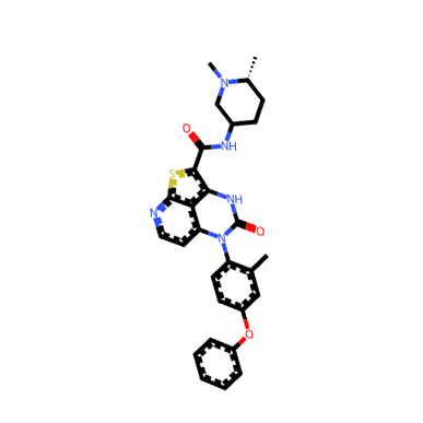 Cc1cc(Oc2ccccc2)ccc1N1C(=O)Nc2c(C(=O)NC3CC[C@@H](C)N(C)C3)sc3nccc1c23